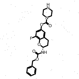 O=C(N[C@H]1CCc2cc(OC(=O)N3CCNCC3)cc(F)c2O1)OCc1ccccc1